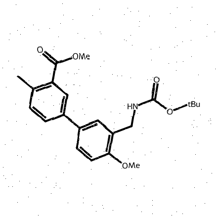 COC(=O)c1cc(-c2ccc(OC)c(CNC(=O)OC(C)(C)C)c2)ccc1C